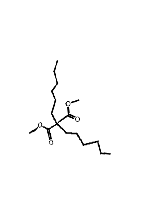 CCCCCCC(CCCCCC)(C(=O)OC)C(=O)OC